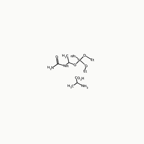 CC(N)C(=O)O.CCC[Si](OCC)(OCC)OC(C)NC(N)=O